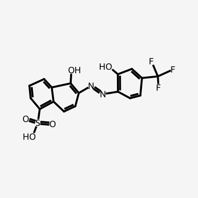 O=S(=O)(O)c1cccc2c(O)c(N=Nc3ccc(C(F)(F)F)cc3O)ccc12